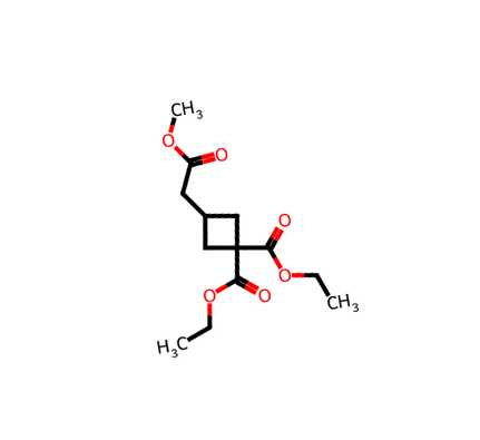 CCOC(=O)C1(C(=O)OCC)CC(CC(=O)OC)C1